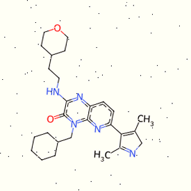 CC1=NCC(C)=C1c1ccc2nc(NCCC3CCOCC3)c(=O)n(CC3CCCCC3)c2n1